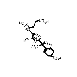 CC(C)[C@H](NC(=O)C(C)(C)c1ccc(O)cc1)C(=O)N[C@H](CCC(=O)O)C(=O)O